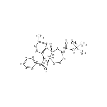 Cc1ccc2c(c1)[C@@H]1CN(C(=O)OC(C)(C)C)CCC[C@@H]1N2C(=O)c1ccccc1